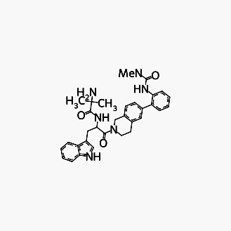 CNC(=O)Nc1ccccc1-c1ccc2c(c1)CCN(C(=O)C(Cc1c[nH]c3ccccc13)NC(=O)C(C)(C)N)C2